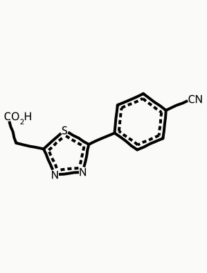 N#Cc1ccc(-c2nnc(CC(=O)O)s2)cc1